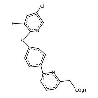 O=C(O)Cc1ccnc(-c2ccc(Oc3ncc(Cl)cc3F)cc2)n1